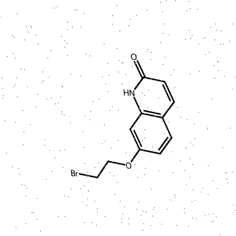 O=c1ccc2ccc(OCCBr)cc2[nH]1